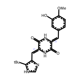 COc1ccc(/C=c2\[nH]c(=O)/c(=C/c3nc[nH]c3C(C)(C)C)[nH]c2=O)cc1O